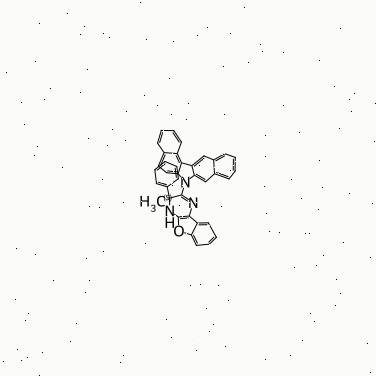 C[C@@]1(c2ccccc2)Nc2oc3ccccc3c2N=C1n1c2cc3ccccc3cc2c2c3ccccc3ccc21